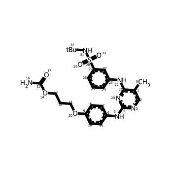 Cc1cnc(Nc2ccc(OCCCOC(N)=O)cc2)nc1Nc1cccc(S(=O)(=O)NC(C)(C)C)c1